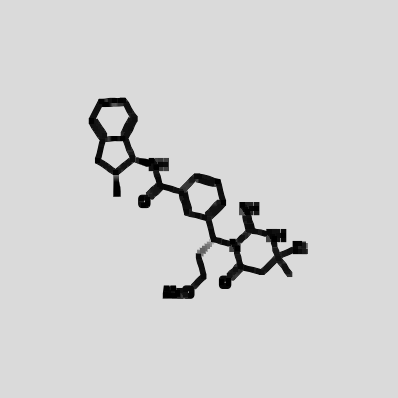 CCC1(C)CC(=O)N([C@H](CCOC)c2cccc(C(=O)N[C@@H]3c4ccccc4C[C@@H]3C)c2)C(=N)N1